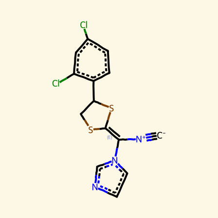 [C-]#[N+]/C(=C1/SCC(c2ccc(Cl)cc2Cl)S1)n1ccnc1